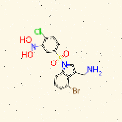 NCc1cn(S(=O)(=O)c2ccc(Cl)c(N(O)O)c2)c2cccc(Br)c12